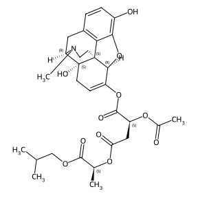 CC(=O)O[C@@H](CC(=O)O[C@@H](C)C(=O)OCC(C)C)C(=O)OC1=CC[C@@]2(O)[C@H]3Cc4ccc(O)c5c4[C@@]2(CCN3C)[C@H]1O5